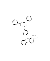 c1ccc(-c2cc(-c3ccccc3)nc(-c3ccc(-n4c5ccccc5c5ccc6occc6c54)cc3)n2)cc1